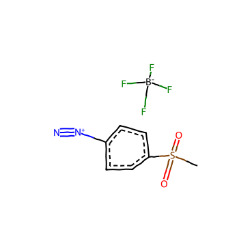 CS(=O)(=O)c1ccc([N+]#N)cc1.F[B-](F)(F)F